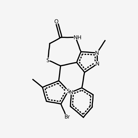 Cc1cc(Br)sc1C1SCC(=O)Nc2c1c(-c1ccccn1)nn2C